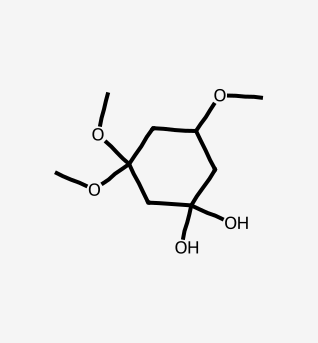 COC1CC(O)(O)CC(OC)(OC)C1